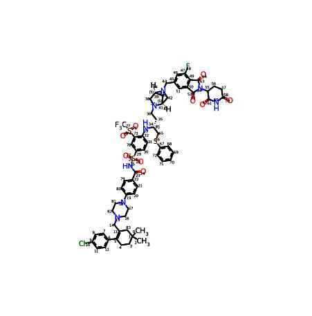 CC1(C)CCC(c2ccc(Cl)cc2)=C(CN2CCN(c3ccc(C(=O)NS(=O)(=O)c4ccc(N[C@H](CCN5C[C@@H]6C[C@H]5CN6Cc5cc(F)c6c(c5)C(=O)N(C5CCC(=O)NC5=O)C6=O)CSc5ccccc5)c(S(=O)(=O)C(F)(F)F)c4)cc3)CC2)C1